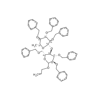 C=CCOC1O[C@H](COCc2ccccc2)[C@@H](O[C@@H]2O[C@H](C)[C@@H](OCc3ccccc3)[C@H](OCc3ccccc3)[C@H]2OCc2ccccc2)[C@H](OCc2ccccc2)[C@H]1OCc1ccccc1